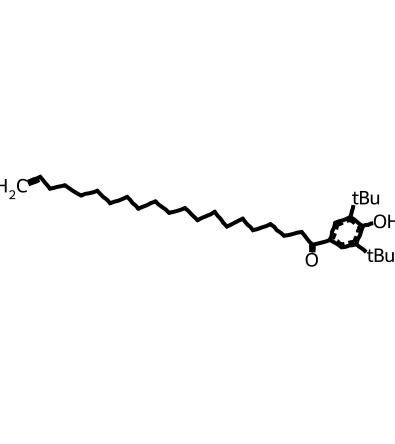 C=CCCCCCCCCCCCCCCCCCCC(=O)c1cc(C(C)(C)C)c(O)c(C(C)(C)C)c1